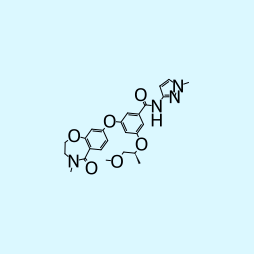 COC[C@H](C)Oc1cc(Oc2ccc3c(c2)OCCN(C)C3=O)cc(C(=O)Nc2ccn(C)n2)c1